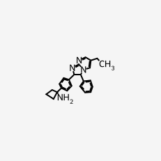 CCC1=CN2C(=NC(c3ccc(C4(N)CCC4)cc3)C2c2ccccc2)N=C1